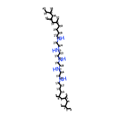 CCC(C)CC(C)CC(C)CCCCNCCNCCNCCNCCNCCCCC(C)CC(C)CC(C)CC